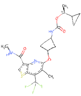 CNC(=O)c1csc2c(C(F)(F)F)c(C)c(OC3CC(NC(=O)O[C@@H](C)C4CC4)C3)nc12